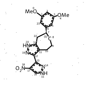 COc1cc(OC)cc([C@H]2CCCc3c(-c4n[nH]cc4[N+](=O)[O-])n[nH]c3C2)c1